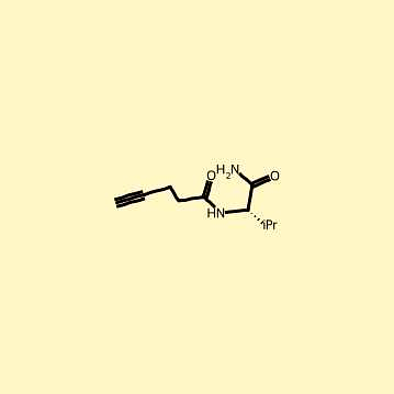 C#CCCC(=O)N[C@H](C(N)=O)C(C)C